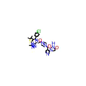 Cc1sc2c(c1C)C(c1ccc(Cl)cc1)=N[C@@H](CC(=O)N1CCN(Cc3ccncc3N3CCC(=O)NC3=O)CC1)c1nnc(C)n1-2